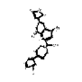 O=C(c1cc(O)c2cc(-c3ccoc3)cc(C(F)(F)F)c2n1)N1CCC(c2cccc(F)c2)CC1